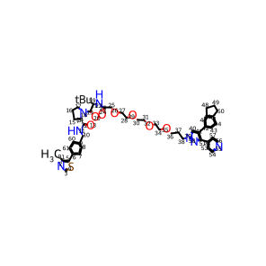 Cc1ncsc1-c1ccc(CNC(=O)[C@@H]2CCCN2C(=O)C(NC(=O)COCCOCCOCCOCCCn2cc(-c3ccc4c(c3)CCC4)c(-c3ccncc3)n2)C(C)(C)C)cc1